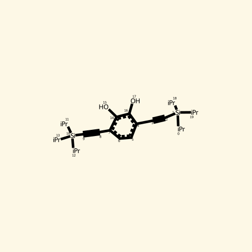 CC(C)[Si](C#Cc1ccc(C#C[Si](C(C)C)(C(C)C)C(C)C)c(O)c1O)(C(C)C)C(C)C